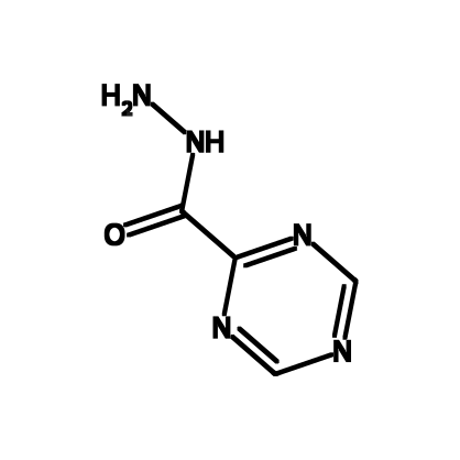 NNC(=O)c1ncncn1